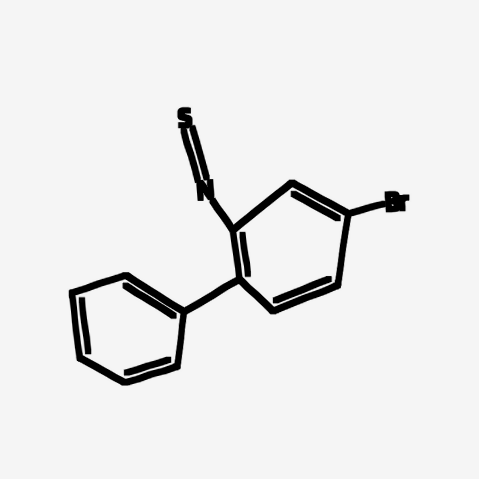 S=Nc1cc(Br)ccc1-c1ccccc1